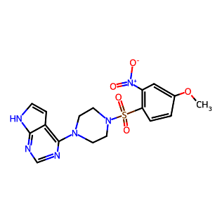 COc1ccc(S(=O)(=O)N2CCN(c3ncnc4[nH]ccc34)CC2)c([N+](=O)[O-])c1